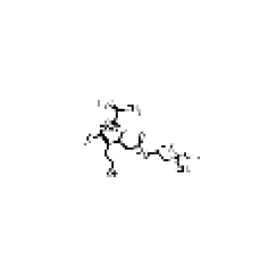 C=C(C)C(=O)OC(C[PH](=O)OCC[N+](C)(C)C)C(CCO)=C(C)C(=O)[O-]